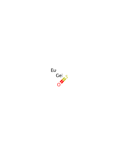 O=S.[Eu].[Ge]